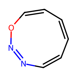 c1ccconncc1